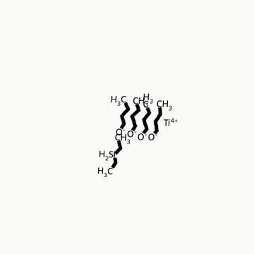 CCCC[O-].CCCC[O-].CCCC[O-].CCCC[O-].CC[SiH2]CC.[Ti+4]